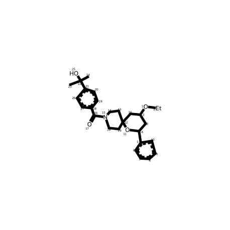 CCOC1CC(c2ccccc2)OC2(CCN(C(=O)c3ccc(C(C)(C)O)cc3)CC2)C1